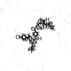 CC(C)(CNC(=O)c1ccc(Nc2nc(NC3(c4ccc(Cl)cc4)CC3)nc(OCC(F)(F)F)n2)cc1)C(=O)N[C@]1(C(=O)NS(=O)(=O)C2CCC2)C[C@H]1I